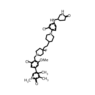 COc1cc(-c2cn(C)c(=O)c(C)c2C)cc(Cl)c1CN1CCC(F)(CCC2CCN(c3ccc(NC4CCC(=O)NC4)cc3Cl)CC2)CC1